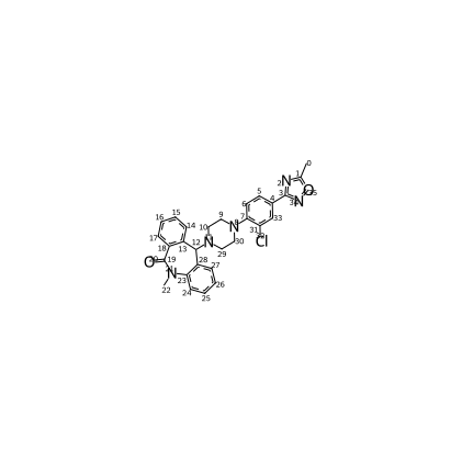 Cc1nc(-c2ccc(N3CCN(C4c5ccccc5C(=O)N(C)c5ccccc54)CC3)c(Cl)c2)no1